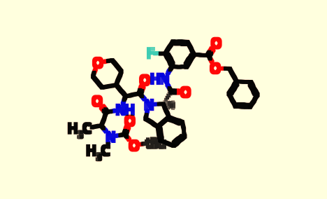 CC(C(=O)NC(C(=O)N1Cc2ccccc2[C@H]1C(=O)Nc1cc(C(=O)OCc2ccccc2)ccc1F)C1CCOCC1)N(C)C(=O)OC(C)(C)C